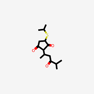 CC(C)SC1CC(=O)C(C(C)CC(=O)C(C)C)C1=O